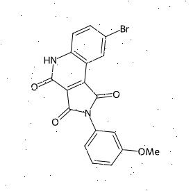 COc1cccc(N2C(=O)c3c(c4cc(Br)ccc4[nH]c3=O)C2=O)c1